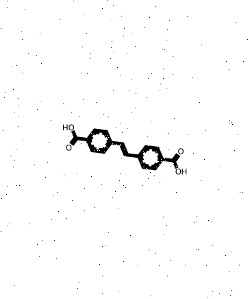 O=C(O)c1ccc(C=Cc2ccc(C(=O)O)cc2)cc1